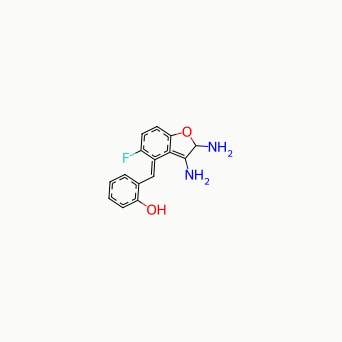 NC1=c2c(ccc(F)c2=Cc2ccccc2O)OC1N